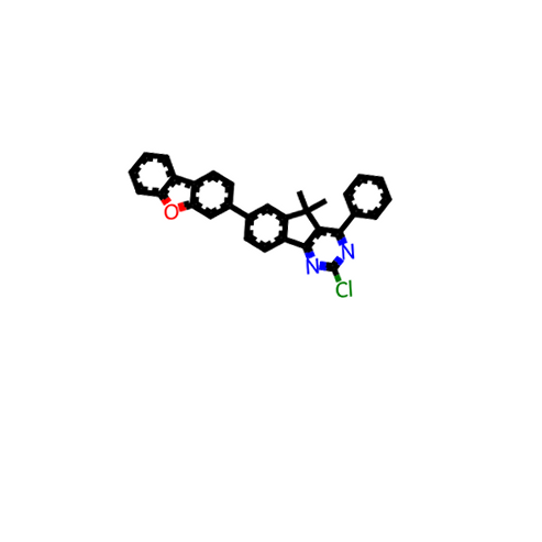 CC1(C)c2cc(-c3ccc4c(c3)oc3ccccc34)ccc2-c2nc(Cl)nc(-c3ccccc3)c21